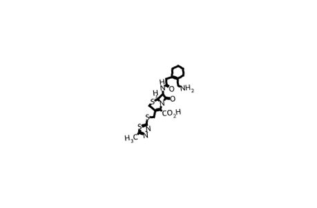 Cc1nnc(SCC2=C(C(=O)O)N3C(=O)C(NC(=O)CC4=C(CN)CCCC4)[C@@H]3SC2)s1